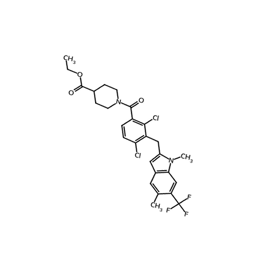 CCOC(=O)C1CCN(C(=O)c2ccc(Cl)c(Cc3cc4cc(C)c(C(F)(F)F)cc4n3C)c2Cl)CC1